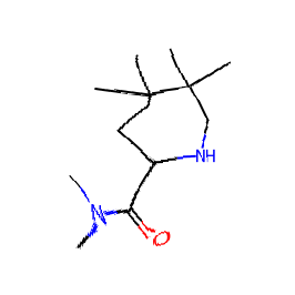 CN(C)C(=O)C1CC(C)(C)C(C)(C)CN1